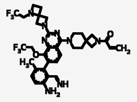 C=CC(=O)N1CC2(CCN(c3nc(N4CC5(CCN5CC(F)(F)F)C4)nc4c(OCC(F)(F)F)c(-c5c(C)ccc(N)c5C=N)ccc34)CC2)C1